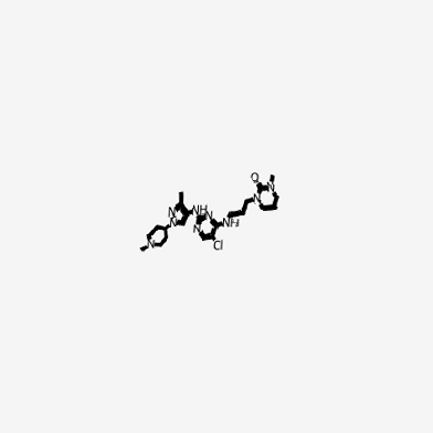 Cc1nn(C2CCN(C)CC2)cc1Nc1ncc(Cl)c(NCCCN2CCCN(C)C2=O)n1